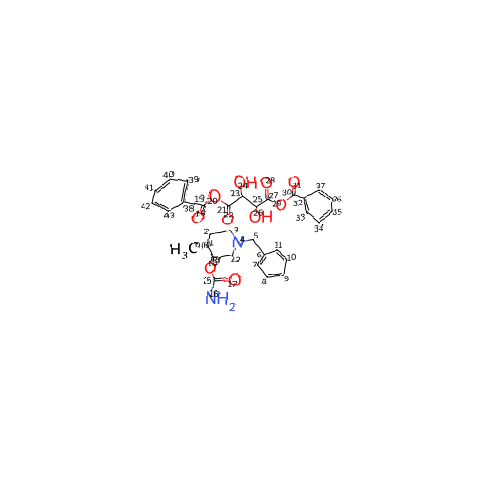 C[C@@H]1CCN(Cc2ccccc2)C[C@@H]1OC(N)=O.O=C(OC(=O)C(O)C(O)C(=O)OC(=O)c1ccccc1)c1ccccc1